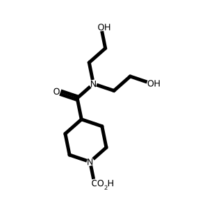 O=C(O)N1CCC(C(=O)N(CCO)CCO)CC1